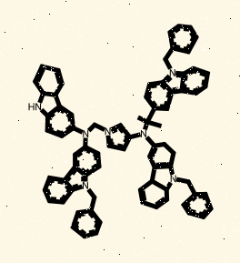 CC(C)(c1ccc2c(c1)c1ccccc1n2Cc1ccccc1)N(C1=CC2=C(CC1)N(Cc1ccccc1)C1C=CC=CC21)c1ccn(CN(c2ccc3c(c2)C2C=CC=CC2N3)c2ccc3c(c2)c2ccccc2n3Cc2ccccc2)c1